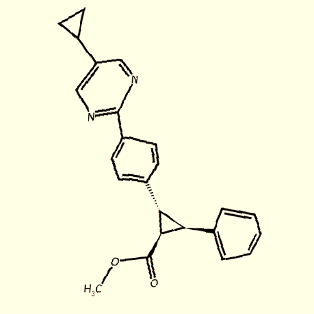 COC(=O)[C@@H]1[C@H](c2ccccc2)[C@H]1c1ccc(-c2ncc(C3CC3)cn2)cc1